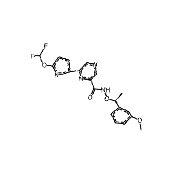 COc1cccc([C@H](C)ONC(=O)c2cncc(-c3ccc(OC(F)F)nc3)n2)c1